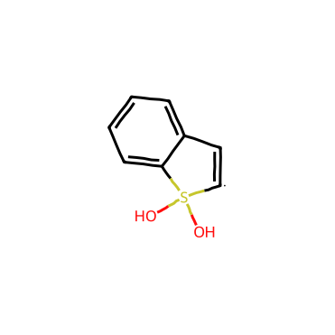 OS1(O)[C]=Cc2ccccc21